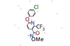 CON(C)C(=O)c1ccc(Oc2ccc(Cl)cc2)nc1C(F)(F)F